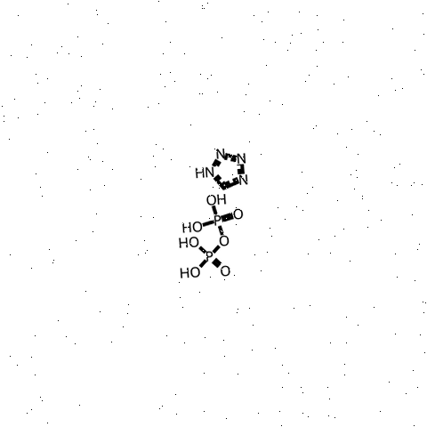 O=P(O)(O)OP(=O)(O)O.c1nnn[nH]1